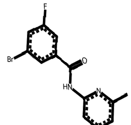 Cc1cccc(NC(=O)c2cc(F)cc(Br)c2)n1